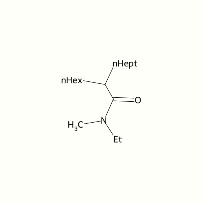 CCCCCCCC(CCCCCC)C(=O)N(C)CC